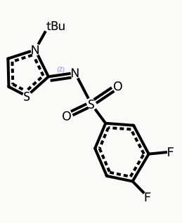 CC(C)(C)n1ccs/c1=N\S(=O)(=O)c1ccc(F)c(F)c1